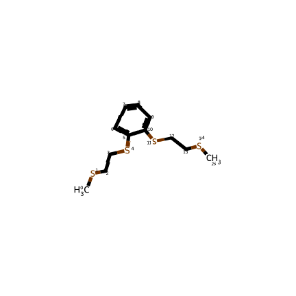 CSCCSc1ccccc1SCCSC